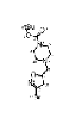 CC(C)(C)OC(=O)N1CCN(CC2CC(Br)=NO2)CC1